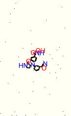 O=C(NO)c1ccc(N(c2cccc(-c3cnco3)c2)C2CCNC2=O)cc1